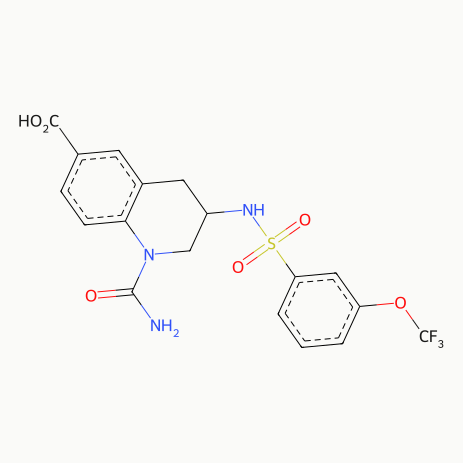 NC(=O)N1CC(NS(=O)(=O)c2cccc(OC(F)(F)F)c2)Cc2cc(C(=O)O)ccc21